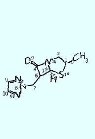 C[C@@H]1CN2C(=O)C(Cn3nccn3)[C@@H]2S1